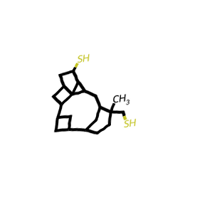 CC1(CS)CCC2CC1CC1C3C(S)CC4CC(C5CC2C5)C413